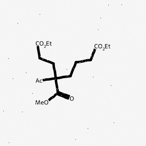 CCOC(=O)CCCC(CCC(=O)OCC)(C(C)=O)C(=O)OC